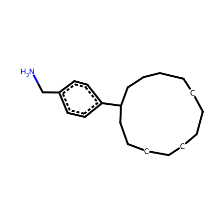 NCc1ccc(C2CCCCCCCCCCCC2)cc1